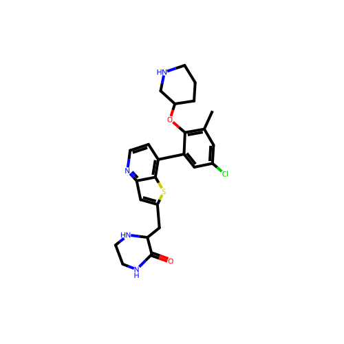 Cc1cc(Cl)cc(-c2ccnc3cc(CC4NCCNC4=O)sc23)c1OC1CCCNC1